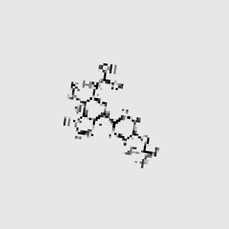 O=C(O)Nc1cc(-c2ccc(OC(F)(F)F)cc2)c2nc[nH]c2c1CBr